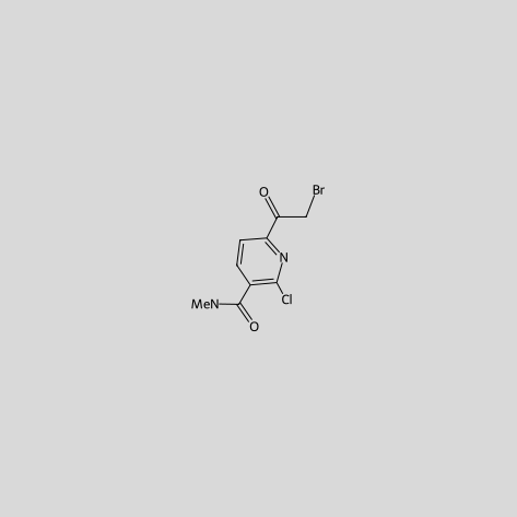 CNC(=O)c1ccc(C(=O)CBr)nc1Cl